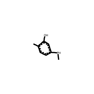 CPc1ccc(C)c(O)c1